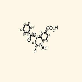 CC(=O)N1c2ccc(C(=O)O)cc2[C@@H](OC(=O)c2ccccc2)C[C@@H]1C